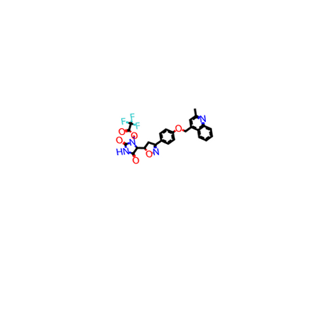 Cc1cc(COc2ccc(C3=NOC(C4C(=O)NC(=O)N4OC(=O)C(F)(F)F)C3)cc2)c2ccccc2n1